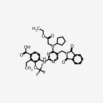 CCOC(=O)CN(c1nc(Nc2ccc(C(=O)O)c(CC)c2OC(F)(F)F)ncc1CN1C(=O)c2ccccc2C1=O)C1CCCC1